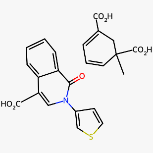 CC1(C(=O)O)C=CC=C(C(=O)O)C1.O=C(O)c1cn(-c2ccsc2)c(=O)c2ccccc12